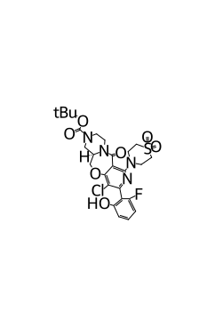 CC(C)(C)OC(=O)N1CCN2C(=O)c3c(N4CCS(=O)(=O)CC4)nc(-c4c(O)cccc4F)c(Cl)c3OC[C@H]2C1